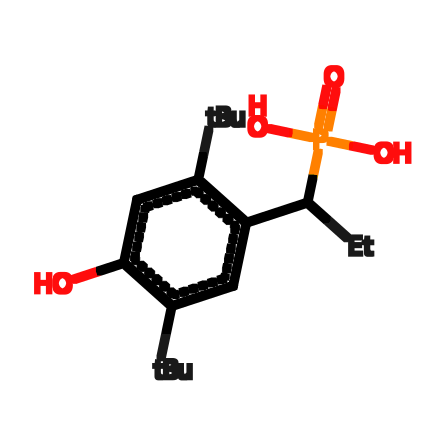 CCC(c1cc(C(C)(C)C)c(O)cc1C(C)(C)C)P(=O)(O)O